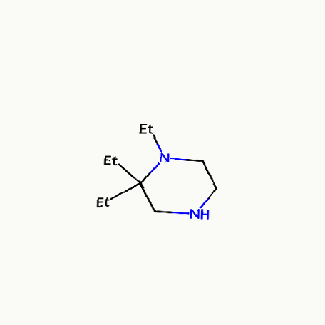 CCN1CCNCC1(CC)CC